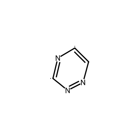 [c]1cnn[c]n1